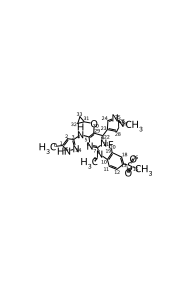 Cc1cc(Nc2nc(N(C)c3ccc(S(C)(=O)=O)cc3F)nc(-c3cnn(C)c3)c2OC2CC2)n[nH]1